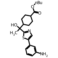 CCCCOC(=O)C1CCC(C(C)(O)c2ncc(-c3cccc(N)c3)s2)CC1